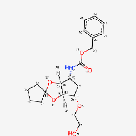 O=C(N[C@@H]1C[C@H](OCCO)[C@H]2OC3(CCCC3)O[C@H]21)OCc1ccccc1